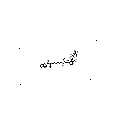 O=C(COc1cccc2c1C(=O)N(C1CCC(=O)NC1=O)C2=O)NCCCCCCCNC(=O)c1ccc2c(c1)CCC2